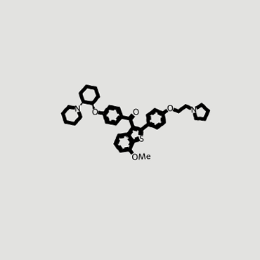 COc1cccc2c(C(=O)c3ccc(O[C@@H]4CCCC[C@H]4N4CCCCC4)cc3)c(-c3ccc(OCCN4CCCC4)cc3)sc12